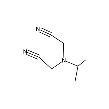 CC(C)N(CC#N)CC#N